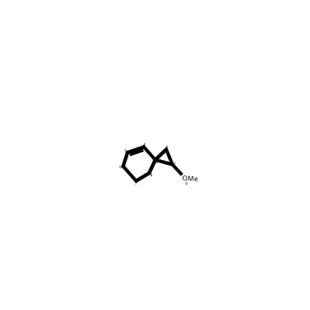 COC1CC12C=CCCC2